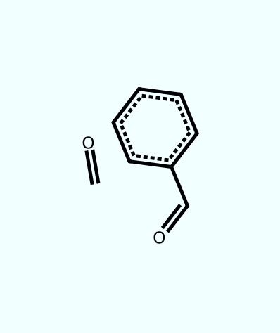 C=O.O=Cc1ccccc1